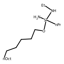 CCCCCCCCCCCCCO[Si](N)(CCC)NCC